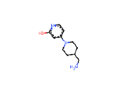 NCC1CCN(c2ccnc(O)c2)CC1